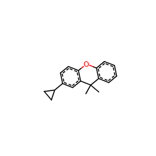 CC1(C)c2ccccc2Oc2ccc(C3CC3)cc21